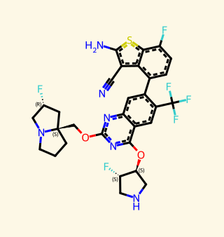 N#Cc1c(N)sc2c(F)ccc(-c3cc4nc(OC[C@@]56CCCN5C[C@H](F)C6)nc(O[C@H]5CNC[C@@H]5F)c4cc3C(F)(F)F)c12